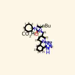 CCCCc1cn(C2CCCCCCC2C(=O)O)c(=O)n1Cc1ccc(-c2ccccc2-c2nnn[nH]2)nc1